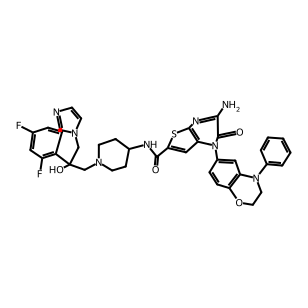 Nc1nc2sc(C(=O)NC3CCN(CC(O)(Cn4ccnc4)c4ccc(F)cc4F)CC3)cc2n(-c2ccc3c(c2)N(c2ccccc2)CCO3)c1=O